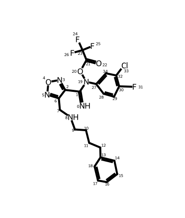 N=C(c1nonc1CNCCCCc1ccccc1)N(OC(=O)C(F)(F)F)c1ccc(F)c(Cl)c1